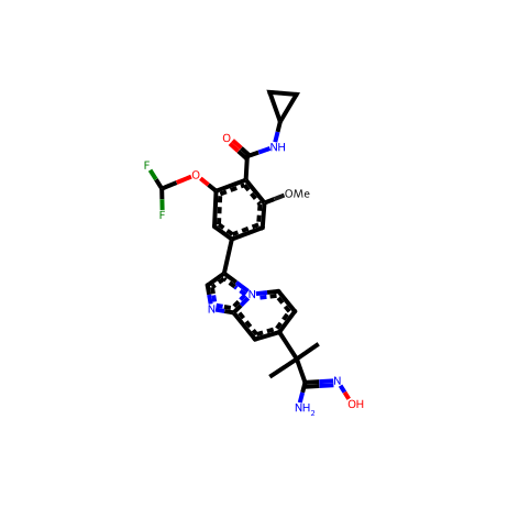 COc1cc(-c2cnc3cc(C(C)(C)/C(N)=N/O)ccn23)cc(OC(F)F)c1C(=O)NC1CC1